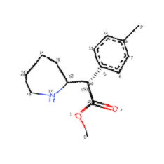 COC(=O)[C@@H](c1ccc(C)cc1)C1CCCCN1